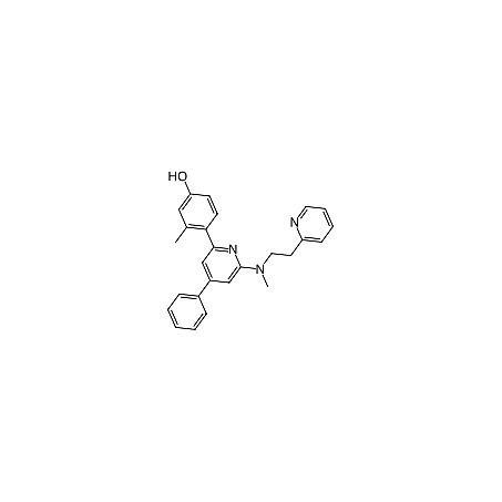 Cc1cc(O)ccc1-c1cc(-c2ccccc2)cc(N(C)CCc2ccccn2)n1